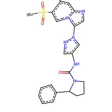 COc1cc2ncc(-n3cc(NC(=O)N4CCCC4c4ccccc4)cn3)n2cc1S(=O)(=O)C(C)(C)C